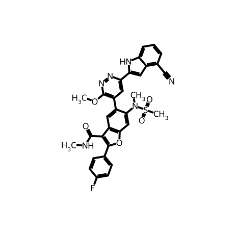 CNC(=O)c1c(-c2ccc(F)cc2)oc2cc(N(C)S(C)(=O)=O)c(-c3cc(-c4cc5c(C#N)cccc5[nH]4)nnc3OC)cc12